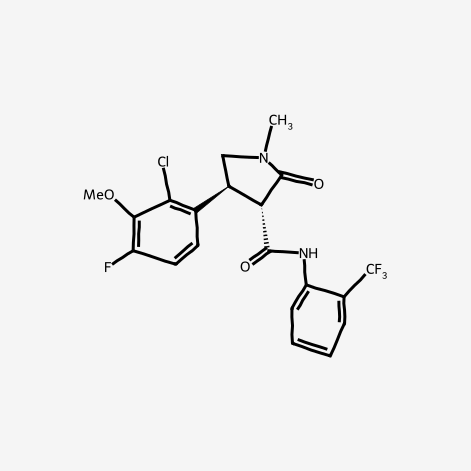 COc1c(F)ccc([C@H]2CN(C)C(=O)[C@@H]2C(=O)Nc2ccccc2C(F)(F)F)c1Cl